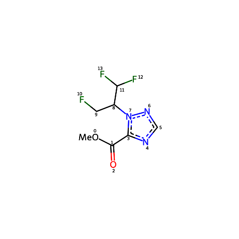 COC(=O)c1ncnn1C(CF)C(F)F